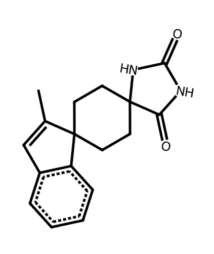 CC1=Cc2ccccc2C12CCC1(CC2)NC(=O)NC1=O